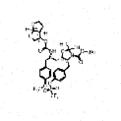 CC(C)(C)OC(=O)N1[C@@H](Cc2ccc(OS(=O)(=O)C(F)(F)F)cc2)[C@H](CN(Cc2ccc(OC(F)(F)F)cc2)NC(=O)O[C@H]2CO[C@H]3OCC[C@H]32)OC1(C)C